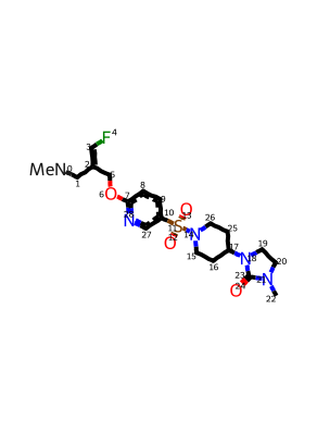 CNC/C(=C/F)COc1ccc(S(=O)(=O)N2CCC(N3CCN(C)C3=O)CC2)cn1